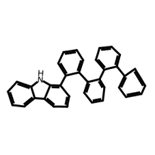 c1ccc(-c2ccccc2-c2ccccc2-c2ccccc2-c2cccc3c2[nH]c2ccccc23)cc1